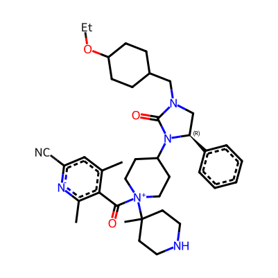 CCOC1CCC(CN2C[C@@H](c3ccccc3)N(C3CC[N+](C(=O)c4c(C)cc(C#N)nc4C)(C4(C)CCNCC4)CC3)C2=O)CC1